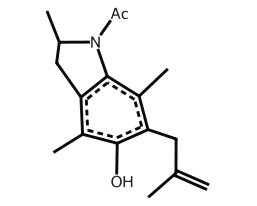 C=C(C)Cc1c(C)c2c(c(C)c1O)CC(C)N2C(C)=O